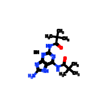 CC(C)(C)C(=O)Nc1nc(NC(=O)C(C)(C)C)c2[nH]c(N)nc2n1.[KH]